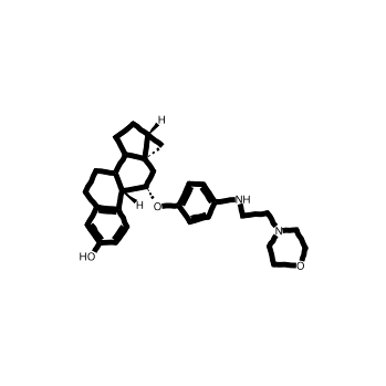 Oc1ccc2c(c1)CCC1C3CC[C@@H]4C[C@]34C[C@H](Oc3ccc(NCCN4CCOCC4)cc3)[C@H]21